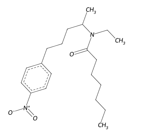 CCCCCCC(=O)N(CC)C(C)CCCc1ccc([N+](=O)[O-])cc1